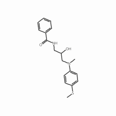 CSc1ccc(N(C)CC(O)CNC(=O)c2ccccc2)cc1